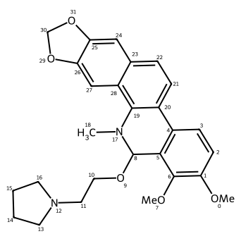 COc1ccc2c(c1OC)C(OCCN1CCCC1)N(C)c1c-2ccc2cc3c(cc12)OCO3